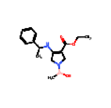 CCOC(=O)C1=C(N[C@@H](C)c2ccccc2)CN(B(C)O)C1